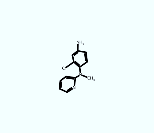 CN(c1ccccn1)c1ccc(N)cc1Cl